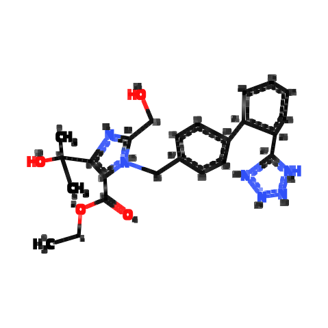 CCOC(=O)c1c(C(C)(C)O)nc(CO)n1Cc1ccc(-c2ccccc2-c2nnn[nH]2)cc1